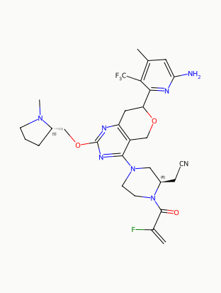 C=C(F)C(=O)N1CCN(c2nc(OC[C@@H]3CCCN3C)nc3c2COC(c2nc(N)cc(C)c2C(F)(F)F)C3)C[C@H]1CC#N